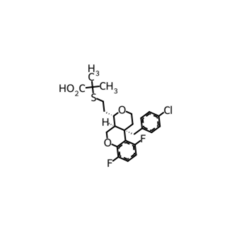 CC(C)(SCC[C@@H]1OCC[C@@]2(Cc3ccc(Cl)cc3)c3c(F)ccc(F)c3OC[C@@H]12)C(=O)O